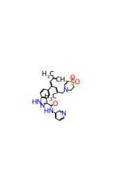 C=C(C)/C=C(\C=C(/C)CN1CCS(=O)(=O)CC1)c1ccc2[nH]nc(C(=O)Nc3cccnc3)c2c1